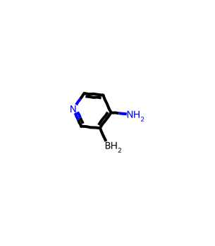 Bc1cnccc1N